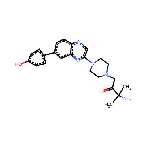 CC(C)(N)C(=O)CN1CCN(c2cnc3ccc(-c4ccc(O)cc4)cc3n2)CC1